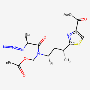 CCCC(=O)OCN(C(=O)[C@@H](N=[N+]=[N-])C(C)CC)[C@H](C[C@@H](C)c1nc(C(=O)OC)cs1)C(C)C